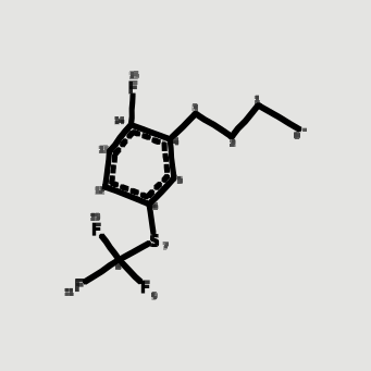 [CH2]CCCc1cc(SC(F)(F)F)ccc1F